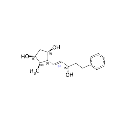 C[C@@H]1[C@@H](/C=C/[C@@H](O)CCc2ccccc2)[C@H](O)C[C@@H]1O